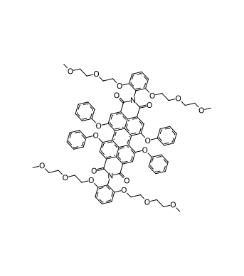 COCCOCCOc1cccc(OCCOCCOC)c1N1C(=O)c2cc(Oc3ccccc3)c3c4c(Oc5ccccc5)cc5c6c(cc(Oc7ccccc7)c(c7c(Oc8ccccc8)cc(c2c37)C1=O)c64)C(=O)N(c1c(OCCOCCOC)cccc1OCCOCCOC)C5=O